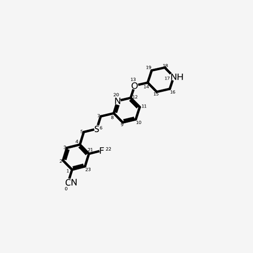 N#Cc1ccc(CSCc2cccc(OC3CCNCC3)n2)c(F)c1